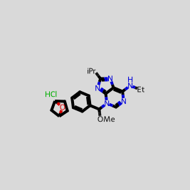 C1CC2CC1O2.CCNc1ncn(C(OC)c2ccccc2)c2nc(C(C)C)nc1-2.Cl